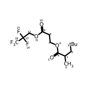 CC(CC(C)(C)C)C(=O)OCCC(=O)OCC(F)(F)C(F)(F)F